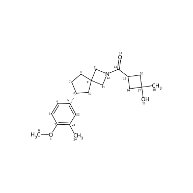 COc1ccc([C@@H]2CCC3(C2)CN(C(=O)C2CC(C)(O)C2)C3)cc1C